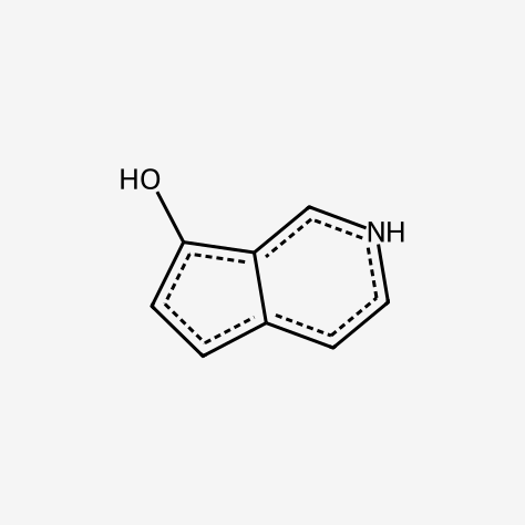 Oc1ccc2cc[nH]cc1-2